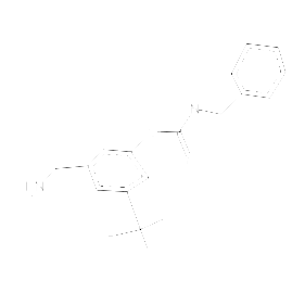 C[C@@H](N)c1cc(OC(=O)NCc2ccccc2)cc(C(F)(F)F)c1